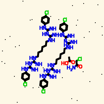 CC(=O)O.N=C(NCCCCCCNC(=N)NC(=N)Nc1ccc(Cl)cc1)NC(=N)Nc1ccc(Cl)cc1.N=C(NCCCCCCNC(=N)NC(=N)Nc1ccc(Cl)cc1)NC(=N)Nc1ccc(Cl)cc1.NC(=O)CCl